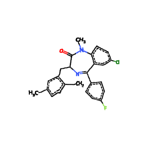 Cc1ccc(C)c(CC2N=C(c3ccc(F)cc3)c3cc(Cl)ccc3N(C)C2=O)c1